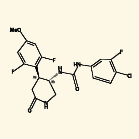 COc1cc(F)c([C@@H]2CC(=O)NC[C@H]2NC(=O)Nc2ccc(Cl)c(F)c2)c(F)c1